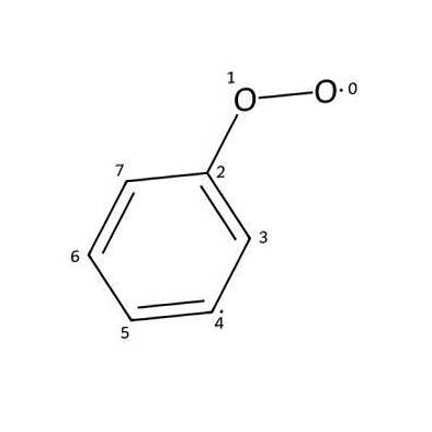 [O]Oc1c[c]ccc1